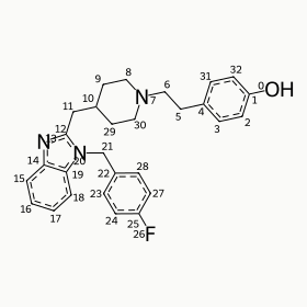 Oc1ccc(CCN2CCC(Cc3nc4ccccc4n3Cc3ccc(F)cc3)CC2)cc1